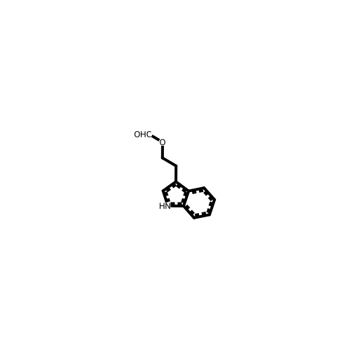 O=COCCc1c[nH]c2ccccc12